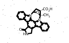 C[C@]12OC(C[C@@H]1C(=O)O)n1c3ccccc3c3c4c(c5c6ccccc6n2c5c31)CNC4=O